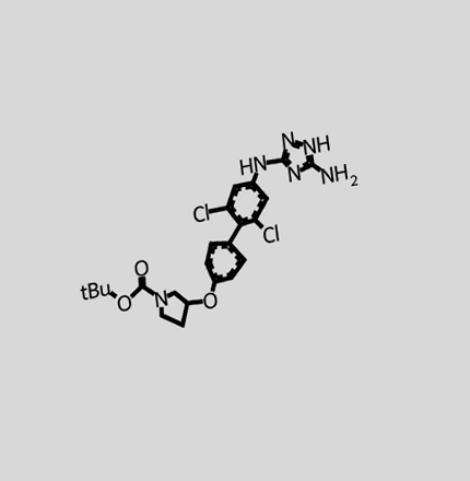 CC(C)(C)OC(=O)N1CCC(Oc2ccc(-c3c(Cl)cc(Nc4n[nH]c(N)n4)cc3Cl)cc2)C1